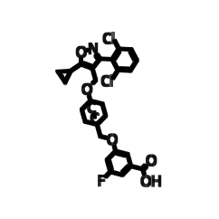 O=C(O)c1cc(F)cc(OCC23CCC(OCc4c(-c5c(Cl)cccc5Cl)noc4C4CC4)(CC2)CC3)c1